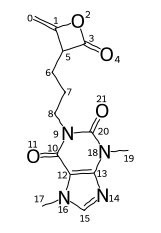 C=C1OC(=O)C1CCCn1c(=O)c2c(ncn2C)n(C)c1=O